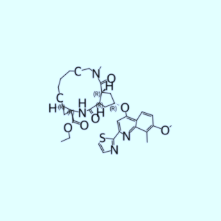 CCOC(=O)[C@@]12C[C@H]1CCCCCCN(C)C(=O)[C@@H]1C[C@H](Oc3cc(-c4nccs4)nc4c(C)c(OC)ccc34)C[C@H]1C(=O)N2